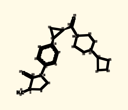 CN1CCN(c2ccc([C@H]3C[C@@H]3C(=O)N3CCN(C4CCC4)CC3)cc2)C1=O